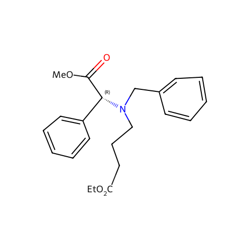 CCOC(=O)CCCN(Cc1ccccc1)[C@@H](C(=O)OC)c1ccccc1